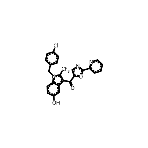 O=C(c1cnc(-c2ccccn2)o1)c1c(C(F)(F)F)n(Cc2ccc(Cl)cc2)c2ccc(O)cc12